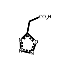 O=C(O)Cc1nnno1